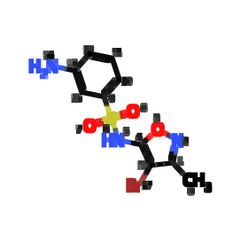 Cc1noc(NS(=O)(=O)c2cccc(N)c2)c1Br